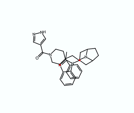 Cc1nc2ccccc2n1C1CC2CCC(C1)N2CCC1(c2ccccc2)CCN(C(=O)c2cn[nH]c2)CC1